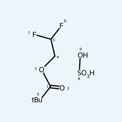 CC(C)(C)C(=O)OCC(F)F.O=S(=O)(O)O